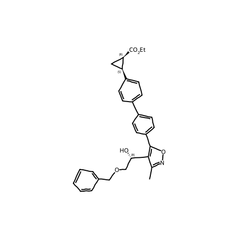 CCOC(=O)[C@@H]1C[C@@H]1c1ccc(-c2ccc(-c3onc(C)c3[C@@H](O)COCc3ccccc3)cc2)cc1